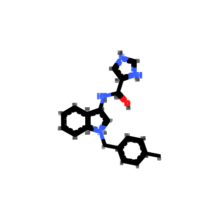 Cc1ccc(Cn2cc(NC(=O)c3cnc[nH]3)c3ccccc32)cc1